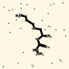 CCCCOCC(C)OC(=O)NC